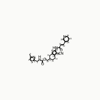 Cc1csc(CNC(=O)OCC2CCc3c(sc(NC(=O)C=Cc4cccnc4)c3C#N)C2)n1